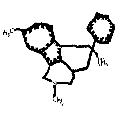 Cc1ccc2c(c1)c1c3n2CC(C)(c2ccccc2)CC3CN(C)C1